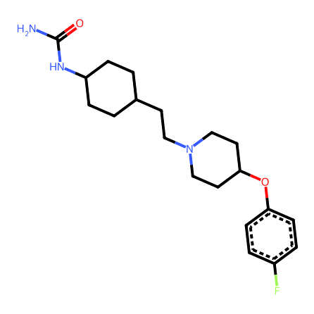 NC(=O)NC1CCC(CCN2CCC(Oc3ccc(F)cc3)CC2)CC1